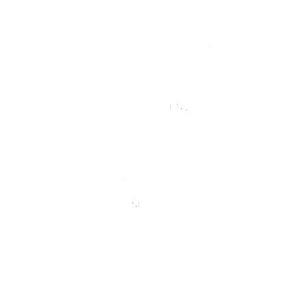 ClCCNCC#CCNCCCl